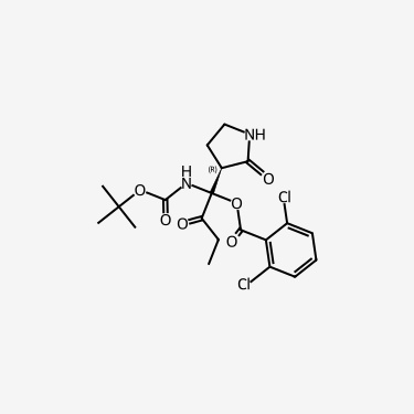 CCC(=O)C(NC(=O)OC(C)(C)C)(OC(=O)c1c(Cl)cccc1Cl)[C@H]1CCNC1=O